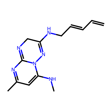 C=C/C=C/CNC1=NN2C(NC)=CC(C)=NC2=NC1